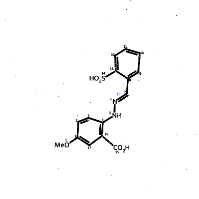 COc1ccc(N/N=C/c2ccccc2S(=O)(=O)O)c(C(=O)O)c1